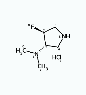 CN(C)[C@H]1CNC[C@@H]1F.Cl